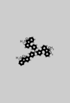 CC1(C)c2ccccc2-c2ccc(-c3ccc(N(c4cccc(-c5cccc6c5-c5ccccc5C6(C)C)c4)c4cccc(-c5cccc6c5-c5ccccc5C6(C)C)c4)cc3)cc21